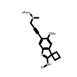 CCCCCN(C)CC#Cc1cc2c(cc1OC)C1(CCC1)C(NCC)=N2